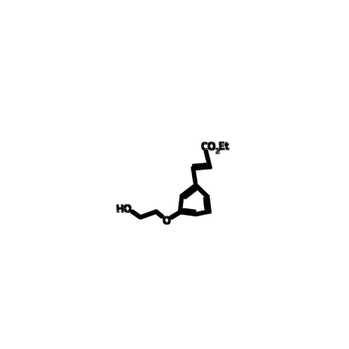 CCOC(=O)C=Cc1cccc(OCCO)c1